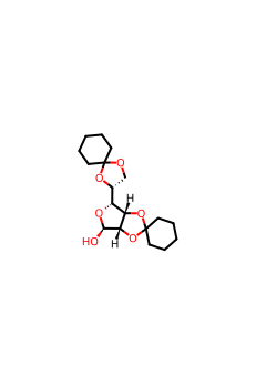 O[C@H]1O[C@H]([C@H]2COC3(CCCCC3)O2)[C@@H]2OC3(CCCCC3)O[C@@H]21